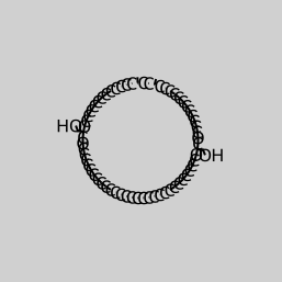 CC1CCCCCCCCCCCCOCC(CO)OCCCCCCCCCCCCCCCCCCCCCCCCCCCCOCC(CO)OCCCCCCCCCCCCC(C)CC1